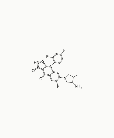 CC1CN(c2cc3c(cc2F)c(=O)c2c(=O)[nH]sc2n3-c2ccc(F)cc2F)CC1N